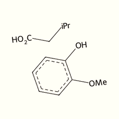 CC(C)CC(=O)O.COc1ccccc1O